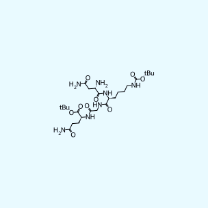 CC(C)(C)OC(=O)NCCCC[C@H](NC(=O)[C@@H](N)CC(N)=O)C(=O)NCC(=O)N[C@@H](CCC(N)=O)C(=O)OC(C)(C)C